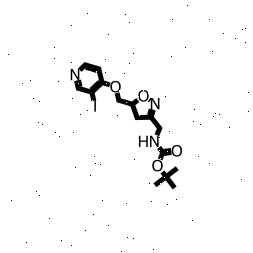 CC(C)(C)OC(=O)NCC1=NOC(COc2ccncc2I)C1